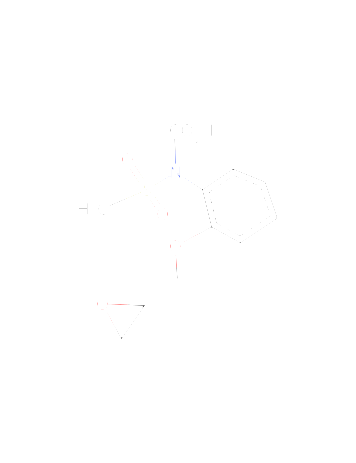 CS(=O)(=O)N(C(=O)O)c1ccccc1OC[C@@H]1CO1